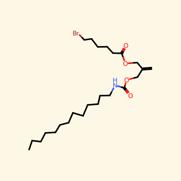 C=C(COC(=O)CCCCCBr)COC(=O)NCCCCCCCCCCCCC